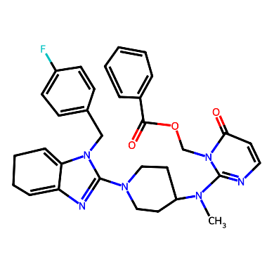 CN(c1nccc(=O)n1COC(=O)c1ccccc1)C1CCN(c2nc3c(n2Cc2ccc(F)cc2)=CCCC=3)CC1